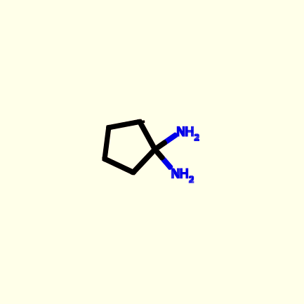 NC1(N)[CH]CCC1